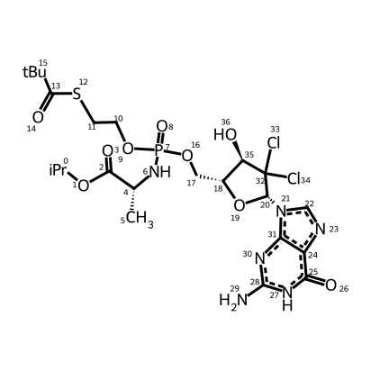 CC(C)OC(=O)[C@@H](C)NP(=O)(OCCSC(=O)C(C)(C)C)OC[C@H]1O[C@@H](n2cnc3c(=O)[nH]c(N)nc32)C(Cl)(Cl)[C@@H]1O